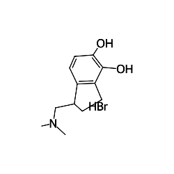 Br.CN(C)CC1CCc2c1ccc(O)c2O